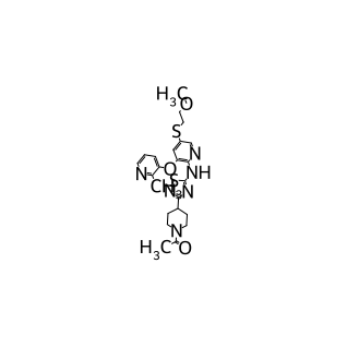 COCCSc1cnc(Nc2nc(C3CCN(C(C)=O)CC3)ns2)c(Oc2cccnc2C)c1